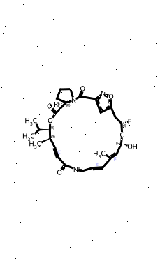 CC1=C\[C@@H](O)C[C@@H](F)Cc2cc(no2)C(=O)N2CCC[C@@H]2C(=O)O[C@H](C(C)C)[C@H](C)/C=C/C(=O)NC\C=C\1